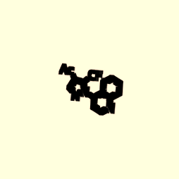 CC(=O)c1cnn(-c2ccnc3ccccc23)c1C(F)(F)F